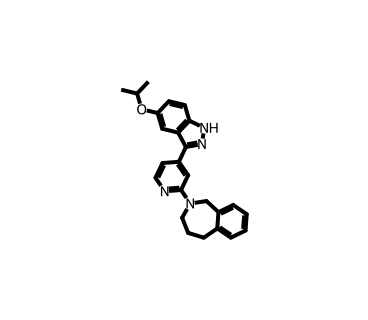 CC(C)Oc1ccc2[nH]nc(-c3ccnc(N4CCCc5ccccc5C4)c3)c2c1